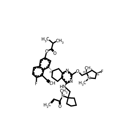 C#Cc1c(F)ccc2cc(OC(=O)C(C)C)cc([C@H]3CCc4c(nc(OC[C@]5(C)C[C@@H](F)CN5C)nc4NCC4(N(C)C(=O)C=C)CCCC4)C3)c12